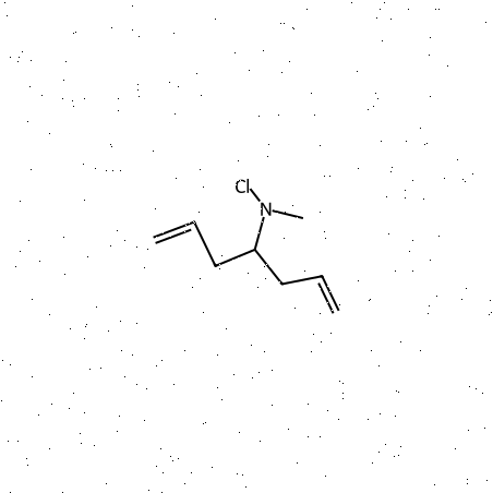 C=CCC(CC=C)N(C)Cl